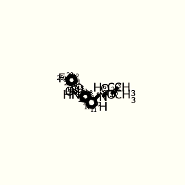 CC(C)(C)OC(=O)NCC1CCCc2cc(NS(=O)(=O)c3cccc(F)c3)ccc21